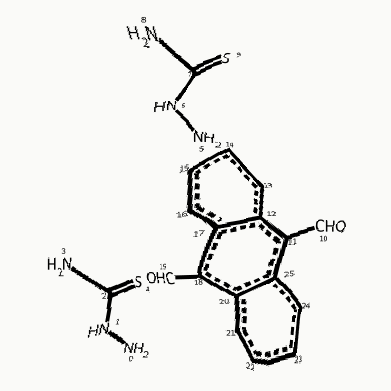 NNC(N)=S.NNC(N)=S.O=Cc1c2ccccc2c(C=O)c2ccccc12